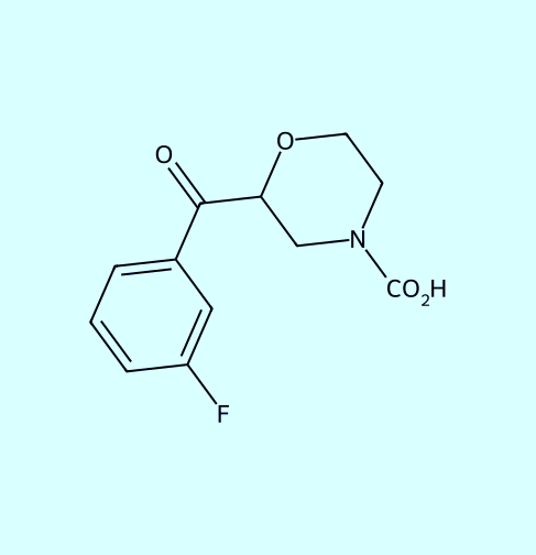 O=C(c1cccc(F)c1)C1CN(C(=O)O)CCO1